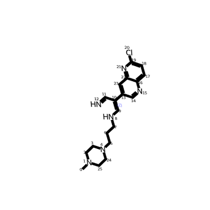 CN1CCN(CCCN/C=C(\C=N)c2cnc3ccc(Cl)nc3c2)CC1